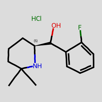 CC1(C)CCC[C@@H](C(O)c2ccccc2F)N1.Cl